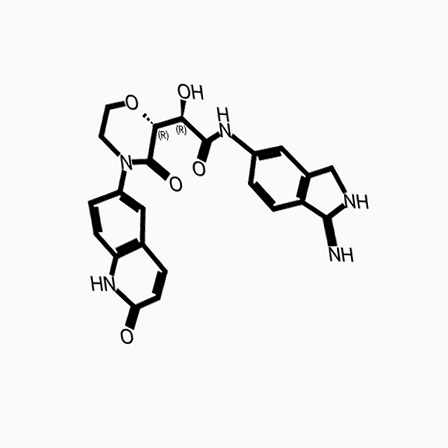 N=C1NCc2cc(NC(=O)[C@H](O)[C@H]3OCCN(c4ccc5[nH]c(=O)ccc5c4)C3=O)ccc21